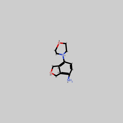 Nc1ccc(N2CCOCC2)c2c1COC2